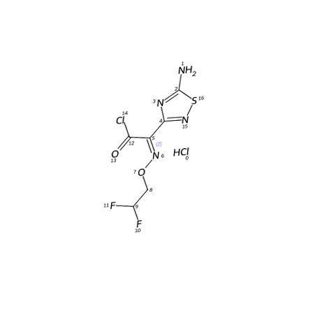 Cl.Nc1nc(/C(=N/OCC(F)F)C(=O)Cl)ns1